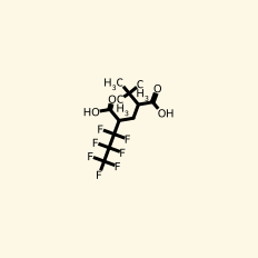 CC(C)(C)C(CC(C(=O)O)C(F)(F)C(F)(F)C(F)(F)F)C(=O)O